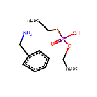 CCCCCCCCCCCOP(=O)(O)SCCCCCCCCCCC.NCc1ccccc1